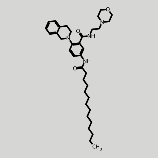 CCCCCCCCCCCCCC(=O)Nc1ccc(N2CCc3ccccc3C2)c(C(=O)NCCN2CCOCC2)c1